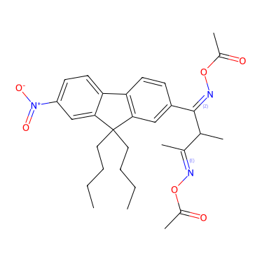 CCCCC1(CCCC)c2cc(/C(=N\OC(C)=O)C(C)/C(C)=N/OC(C)=O)ccc2-c2ccc([N+](=O)[O-])cc21